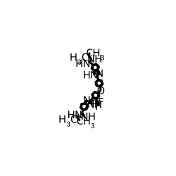 CC(C)NC(=N)c1ccc2nc(-c3ccc(Oc4ccc(-c5nc6ccc(C(=N)NC(C)C)cc6[nH]5)c(C(F)(F)F)c4)cc3)[nH]c2c1